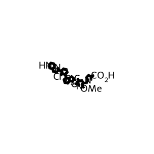 COc1nc(O[C@H]2CCc3c(-c4cccc(-c5ccc6c(n5)CCNC6)c4Cl)cccc32)c(C(F)(F)F)cc1CN1CCC(C(=O)O)C1